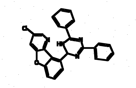 Clc1cnc2c(c1)oc1cccc(C3N=C(c4ccccc4)N=C(c4ccccc4)N3)c12